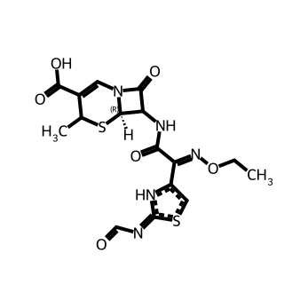 CCON=C(C(=O)NC1C(=O)N2C=C(C(=O)O)C(C)S[C@H]12)c1csc(=NC=O)[nH]1